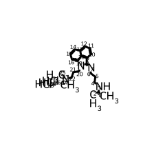 CC(C)NCCCN=C1c2cccc3cccc(c23)N1CCCN(C)C.Cl.Cl.Cl